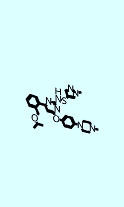 CC(C)OCc1ccccc1-c1cc(Oc2ccc(N3CCN(C)CC3)cc2)nc(NSc2cnn(C)c2)n1